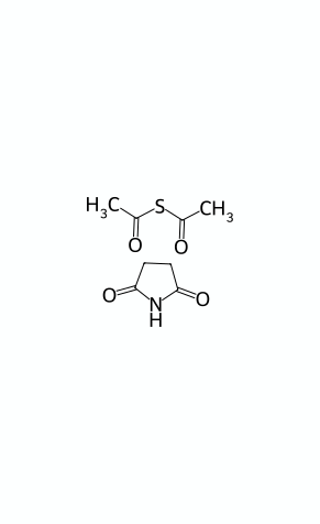 CC(=O)SC(C)=O.O=C1CCC(=O)N1